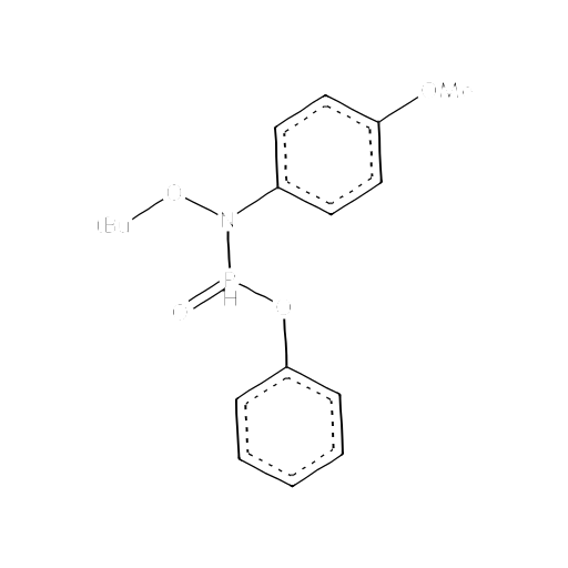 COc1ccc(N(OC(C)(C)C)[PH](=O)Oc2ccccc2)cc1